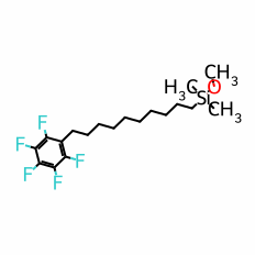 CO[Si](C)(C)CCCCCCCCCCc1c(F)c(F)c(F)c(F)c1F